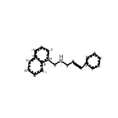 C(=C\c1ccccc1)/CNCc1cccc2ccccc12